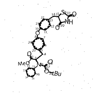 COC(=O)C(Cc1ccc(Oc2ccc(CC3SC(=O)NC3=O)cc2)cc1)N(C(=O)OC(C)(C)C)c1ccccc1